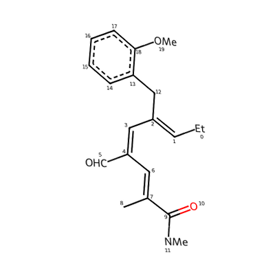 CC/C=C(/C=C(C=O)\C=C(/C)C(=O)NC)Cc1ccccc1OC